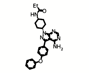 CCC(=O)N[C@H]1CC[C@H](n2nc(-c3ccc(Oc4ccccc4)cc3)c3c(N)ncnc32)CC1